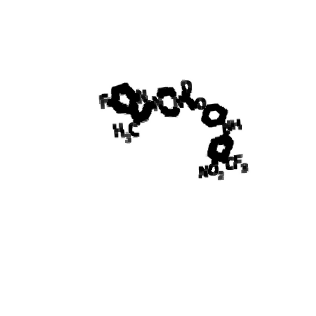 Cc1cc(N2CCN(C(=O)COC3CCC(Nc4ccc([N+](=O)[O-])c(C(F)(F)F)c4)CC3)CC2)nc2ccc(F)cc12